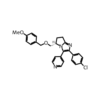 COc1ccc(COC[C@@H]2CCc3nc(-c4ccc(Cl)cc4)c(-c4ccncc4)n32)cc1